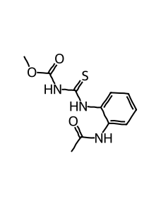 COC(=O)NC(=S)Nc1ccccc1NC(C)=O